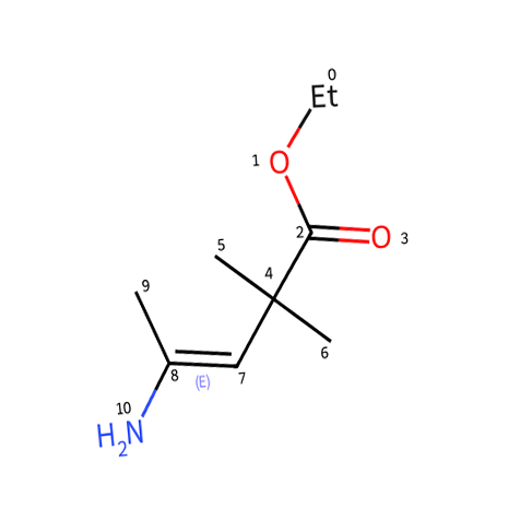 CCOC(=O)C(C)(C)/C=C(\C)N